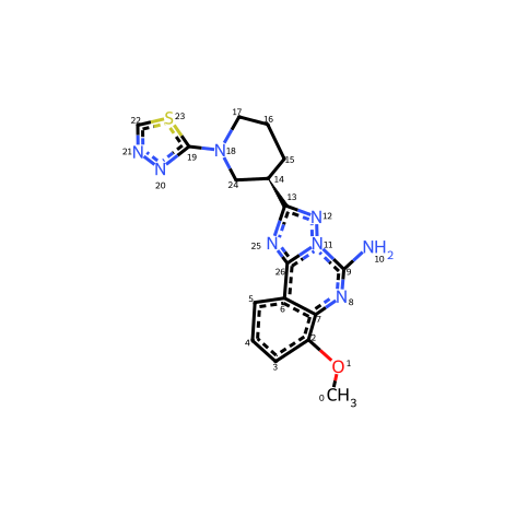 COc1cccc2c1nc(N)n1nc([C@@H]3CCCN(c4nncs4)C3)nc21